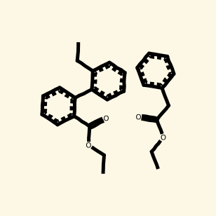 CCOC(=O)Cc1ccccc1.CCOC(=O)c1ccccc1-c1ccccc1CC